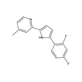 Cc1ccnc(-c2ccc(-c3ccc(F)cc3F)[nH]2)c1